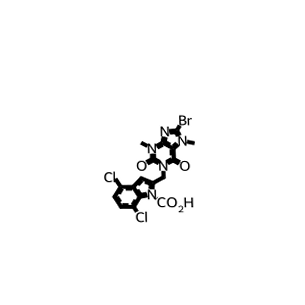 Cn1c(Br)nc2c1c(=O)n(Cc1cc3c(Cl)ccc(Cl)c3n1C(=O)O)c(=O)n2C